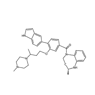 CC(CCOc1cc(C(=O)N2CC[C@H](C)Nc3ccccc32)ccc1-c1ccc2[nH]ccc2c1)N1CCN(C)CC1